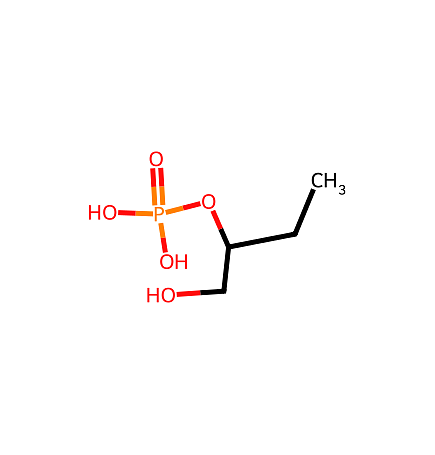 CCC(CO)OP(=O)(O)O